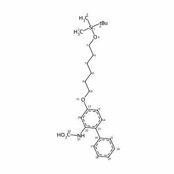 CC(C)(C)[Si](C)(C)OCCCCCCOc1ccc(-c2ccccc2)c(NC(=O)O)c1